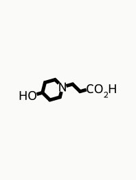 O=C(O)CCN1CCC(O)CC1